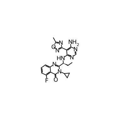 CC[C@H](Nc1ncnc(N)c1-c1noc(C)n1)c1nc2cccc(F)c2c(=O)n1C1CC1